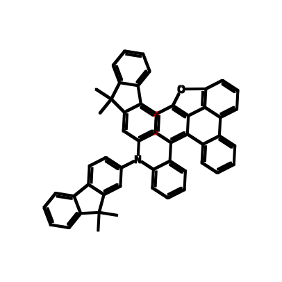 CC1(C)c2ccccc2-c2ccc(N(c3ccc4c(c3)C(C)(C)c3ccccc3-4)c3ccccc3-c3ccc4oc5cccc6c7ccccc7c3c4c56)cc21